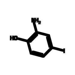 Nc1cc(I)ccc1O